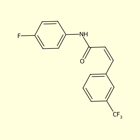 O=C(/C=C\c1cccc(C(F)(F)F)c1)Nc1ccc(F)cc1